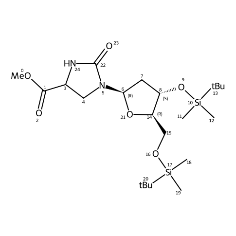 COC(=O)C1CN([C@H]2C[C@H](O[Si](C)(C)C(C)(C)C)[C@@H](CO[Si](C)(C)C(C)(C)C)O2)C(=O)N1